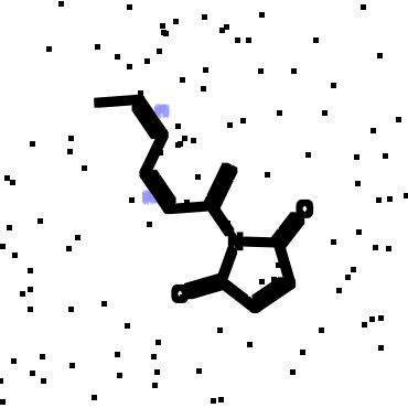 C=C(/C=C\C=C/C)N1C(=O)C=CC1=O